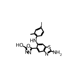 Cc1cc(I)ccc1Nc1cc2sc(N)nc2cc1-c1nnc(O)o1